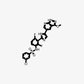 COc1n[nH]c2ncc(-c3cnc(-c4c(F)ccc(NS(=O)(=O)c5cccc(Cl)c5)c4F)[nH]3)cc12